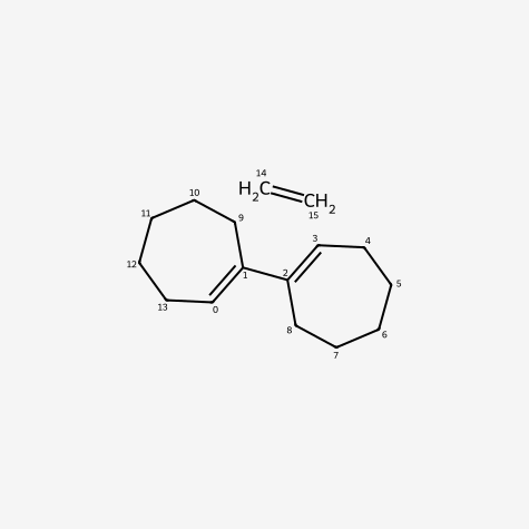 C1=C(C2=CCCCCC2)CCCCC1.C=C